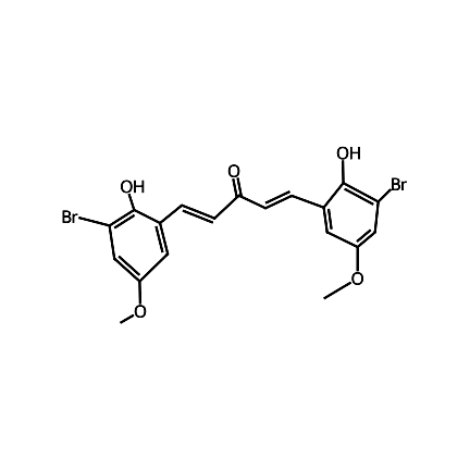 COc1cc(Br)c(O)c(/C=C/C(=O)/C=C/c2cc(OC)cc(Br)c2O)c1